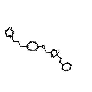 C(=Cc1nc(COc2ccc(CCCn3ccnc3)cc2)co1)c1ccccc1